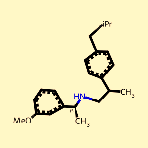 COc1cccc([C@H](C)NCC(C)c2ccc(CC(C)C)cc2)c1